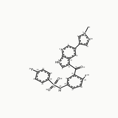 Cn1cc(-c2cnc3[nH]cc(C(=O)c4cc(NS(=O)(=O)c5ccc(F)cc5)ccc4F)c3c2)cn1